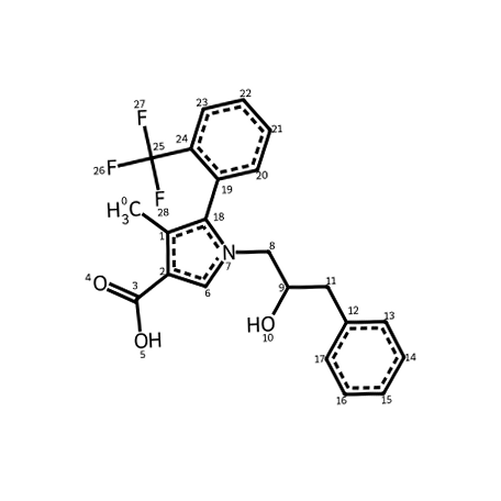 Cc1c(C(=O)O)cn(CC(O)Cc2ccccc2)c1-c1ccccc1C(F)(F)F